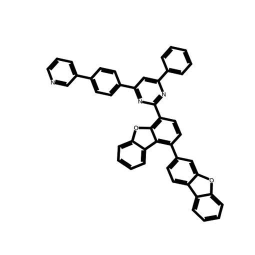 c1ccc(-c2cc(-c3ccc(-c4cccnc4)cc3)nc(-c3ccc(-c4ccc5c(c4)oc4ccccc45)c4c3oc3ccccc34)n2)cc1